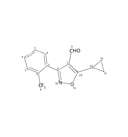 O=Cc1c(-c2ccccc2C(F)(F)F)noc1C1CC1